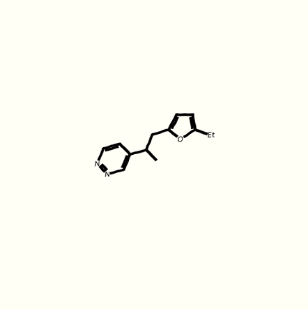 CCc1ccc(CC(C)c2ccnnc2)o1